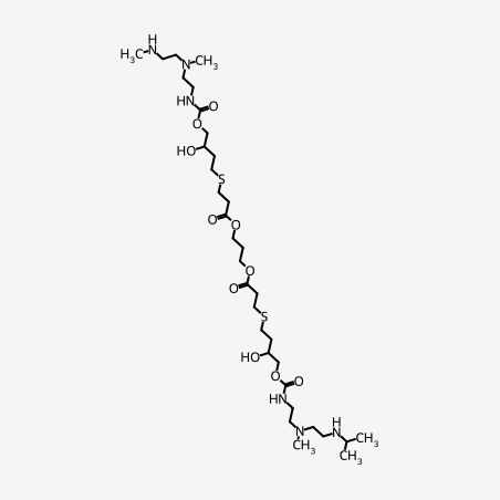 CNCCN(C)CCNC(=O)OCC(O)CCSCCC(=O)OCCCOC(=O)CCSCCC(O)COC(=O)NCCN(C)CCNC(C)C